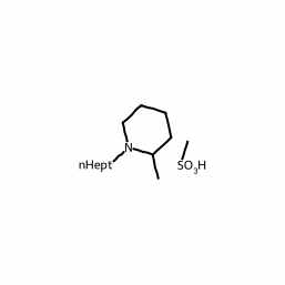 CCCCCCCN1CCCCC1C.CS(=O)(=O)O